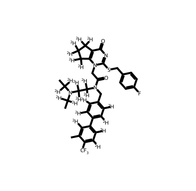 [2H]c1c([2H])c(-c2c([2H])c([2H])c(C(F)(F)F)c(C)c2[2H])c([2H])c([2H])c1CN(C(=O)Cn1c(SCc2ccc(F)cc2)nc(=O)c2c1C([2H])([2H])C([2H])([2H])C2([2H])[2H])C([2H])([2H])C([2H])([2H])N(C([2H])([2H])C)C([2H])([2H])C